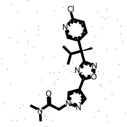 CC(C)[C@](C)(c1ccc(Cl)nc1)c1noc(-c2cnn(CC(=O)N(C)C)c2)n1